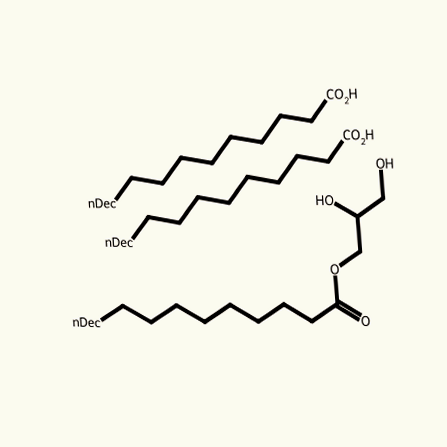 CCCCCCCCCCCCCCCCCCC(=O)O.CCCCCCCCCCCCCCCCCCC(=O)O.CCCCCCCCCCCCCCCCCCC(=O)OCC(O)CO